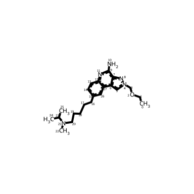 CCOCn1cc2c(n1)c(N)nc1ccc(CCCCCN(C)C(C)C)cc12